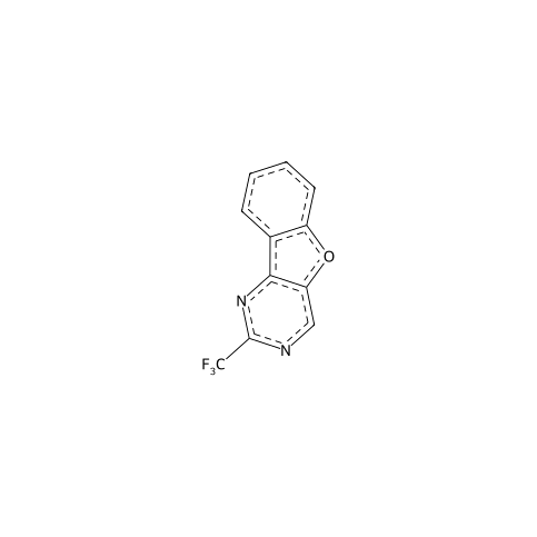 FC(F)(F)c1ncc2oc3ccccc3c2n1